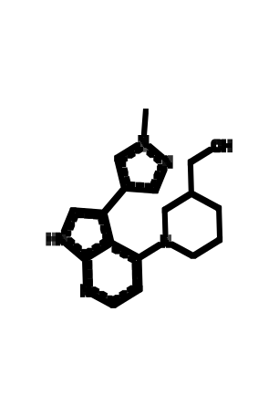 Cn1cc(-c2c[nH]c3nccc(N4CCCC(CO)C4)c23)cn1